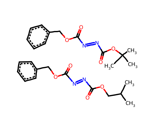 CC(C)(C)OC(=O)N=NC(=O)OCc1ccccc1.CC(C)COC(=O)N=NC(=O)OCc1ccccc1